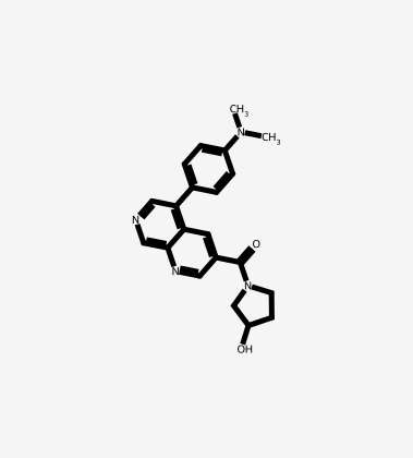 CN(C)c1ccc(-c2cncc3ncc(C(=O)N4CCC(O)C4)cc23)cc1